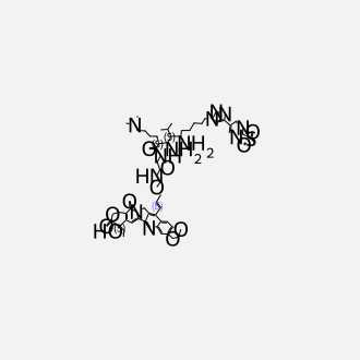 CC[C@@]1(O)C(=O)OCc2c1cc1n(c2=O)Cc2c-1nc1cc3c(cc1c2/C=C/COCNC(=O)CNC(=O)[C@@H](CCCCN(C)C)C(N)[C@@H](C(C)C)C(N)CCCCCn1cc(-c2cnc(S(C)(=O)=O)nc2)nn1)OCO3